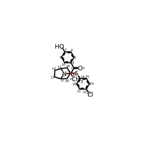 CC(C(=O)c1ccc(O)cc1)N1C2CCC1CC(Sc1ccc(Cl)cc1)C2